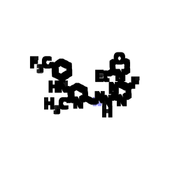 CCC1COCCN1c1nc(N/N=C/c2ccc(Nc3cccc(C(F)(F)F)c3)c(C)n2)ncc1F